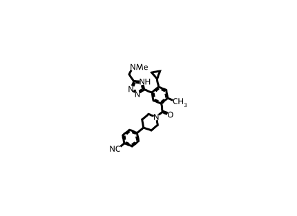 CNCc1nnc(-c2cc(C(=O)N3CCC(c4ccc(C#N)cc4)CC3)c(C)cc2C2CC2)[nH]1